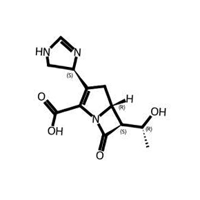 C[C@@H](O)[C@H]1C(=O)N2C(C(=O)O)=C([C@H]3CNC=N3)C[C@H]12